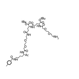 CC(=O)C(CCCCNC(=O)c1ccc(C)cc1)NC(=O)COCCOCCNC(=O)CCC(NC(=O)CCC(NC(=O)COCCOCCN)C(=O)OC(C)(C)C)C(=O)OC(C)(C)C